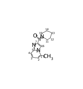 Cc1cccc2nc(C(=O)N3CCCCC3)cn12